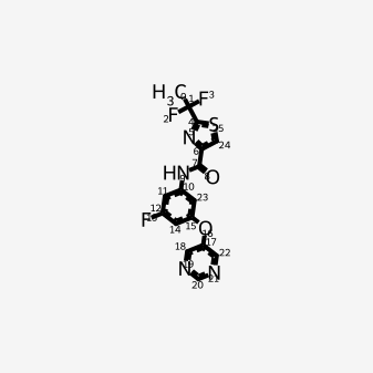 CC(F)(F)c1nc(C(=O)Nc2cc(F)cc(Oc3cncnc3)c2)cs1